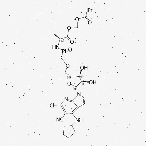 CC(C)C(=O)OCOC(=O)[C@H](C)N[PH](=O)COC[C@H]1O[C@@H](n2ccc3c(NC4CCCC4)c(C#N)c(Cl)nc32)[C@H](O)[C@@H]1O